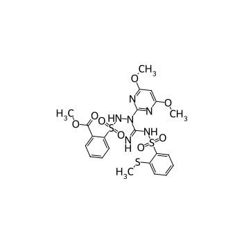 COC(=O)c1ccccc1S(=O)(=O)NN(C(=N)NS(=O)(=O)c1ccccc1SC)c1nc(OC)cc(OC)n1